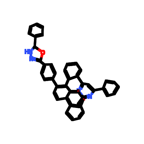 c1ccc(-c2cc(-c3ccccc3-c3c(-c4ccc(C5=NNC(c6ccccc6)O5)cc4)ccc4ccccc34)nc(-c3ccccc3)n2)cc1